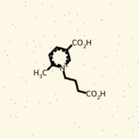 Cc1ccc(C(=O)O)c[n+]1CCCC(=O)O